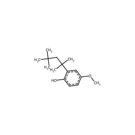 COc1ccc(O)c(C(C)(C)CC(C)(C)C)c1